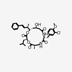 COc1ccc(C[C@H]2NC(=O)C[C@H](O)C[C@@H]([C@H](C)/C=C/c3ccccc3)OC(=O)[C@H](CC(C)C)OC(=O)[C@H](C)CNC2=O)cc1Cl